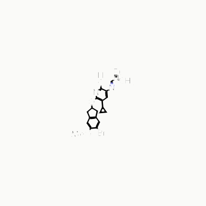 CCN(C)/C=N/c1cc(C2CC2)c(OC2Cc3cc(Br)c(OC)cc3C2)nc1C